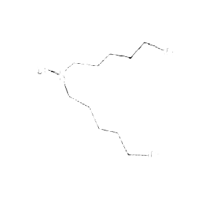 CCN(CCCCCC(C)C)CCCCCC(C)C